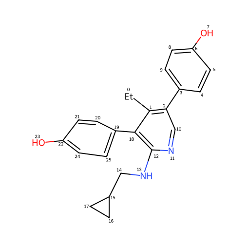 CCc1c(-c2ccc(O)cc2)cnc(NCC2CC2)c1-c1ccc(O)cc1